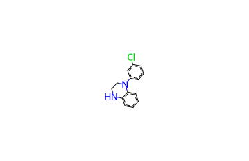 Clc1cccc(N2CCNc3ccccc32)c1